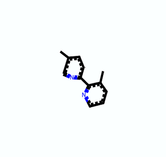 Cc1c[c]c(-c2ncccc2C)nc1